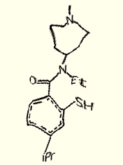 CCN(C(=O)c1ccc(C(C)C)cc1S)C1CCN(C)CC1